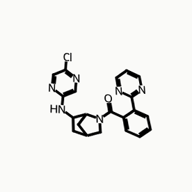 O=C(c1ccccc1-c1ncccn1)N1CC2CC(Nc3cnc(Cl)cn3)C1C2